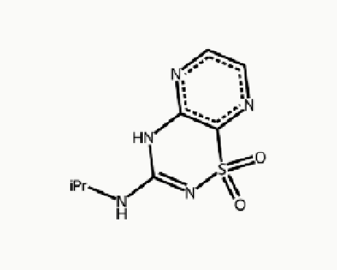 CC(C)NC1=NS(=O)(=O)c2nccnc2N1